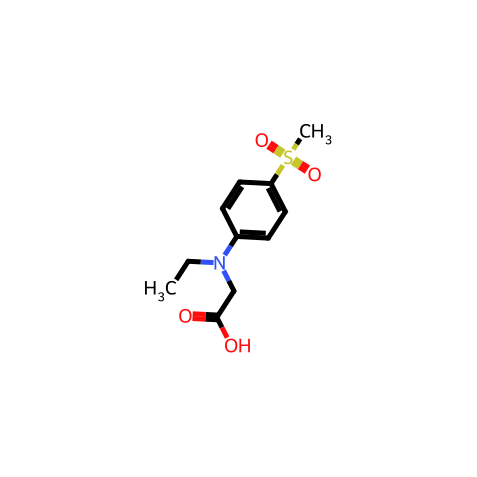 CCN(CC(=O)O)c1ccc(S(C)(=O)=O)cc1